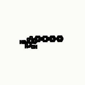 CC(O)C(C(=O)NO)N1Cc2cc(N3CCN(c4ccc(-c5ccccc5)cc4)CC3)ccc2C1=O